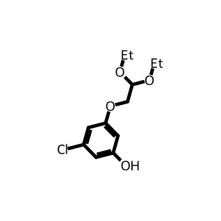 CCOC(COc1cc(O)cc(Cl)c1)OCC